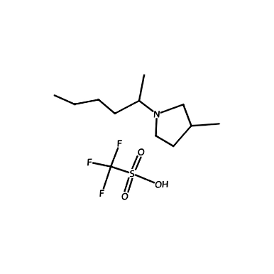 CCCCC(C)N1CCC(C)C1.O=S(=O)(O)C(F)(F)F